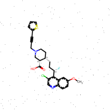 COc1ccc2ncc(Cl)c([C@@H](F)CC[C@H]3CCN(CC#Cc4cccs4)C[C@H]3C(=O)O)c2c1